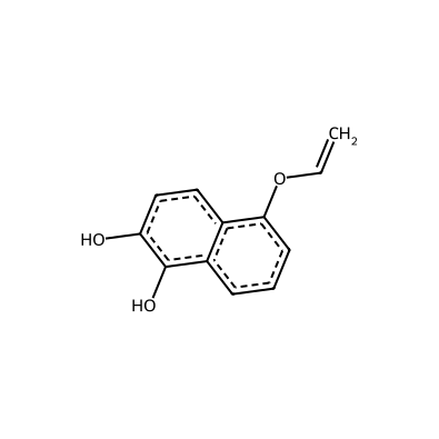 C=COc1cccc2c(O)c(O)ccc12